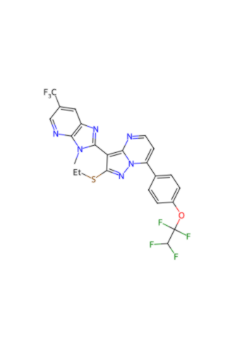 CCSc1nn2c(-c3ccc(OC(F)(F)C(F)F)cc3)ccnc2c1-c1nc2cc(C(F)(F)F)cnc2n1C